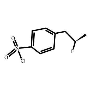 C[C@@H](F)Cc1ccc(S(=O)(=O)Cl)cc1